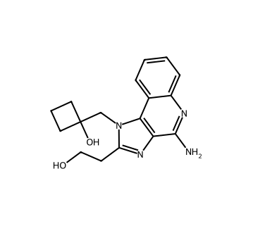 Nc1nc2ccccc2c2c1nc(CCO)n2CC1(O)CCC1